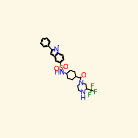 Cn1c(-c2ccccc2)cc2cc(S(=O)(=O)NC3CCC(C(=O)N4CCNC(C(F)(F)F)C4)CC3)ccc21